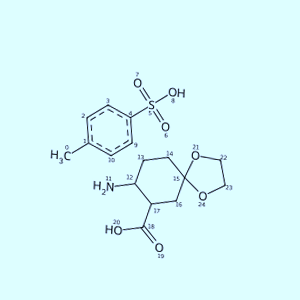 Cc1ccc(S(=O)(=O)O)cc1.NC1CCC2(CC1C(=O)O)OCCO2